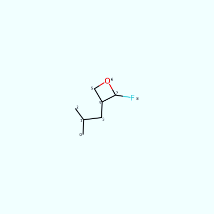 CC(C)CC1COC1F